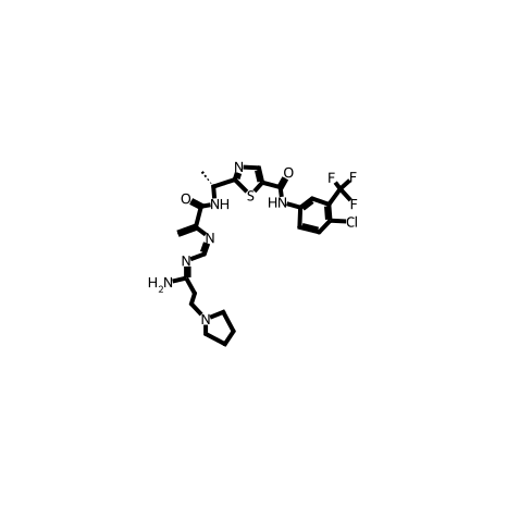 C=C(/N=C\N=C(\N)CCN1CCCC1)C(=O)N[C@H](C)c1ncc(C(=O)Nc2ccc(Cl)c(C(F)(F)F)c2)s1